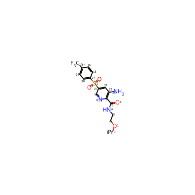 CC(C)OCCNC(=O)c1ncc(S(=O)(=O)c2ccc(C(F)(F)F)cc2)cc1N